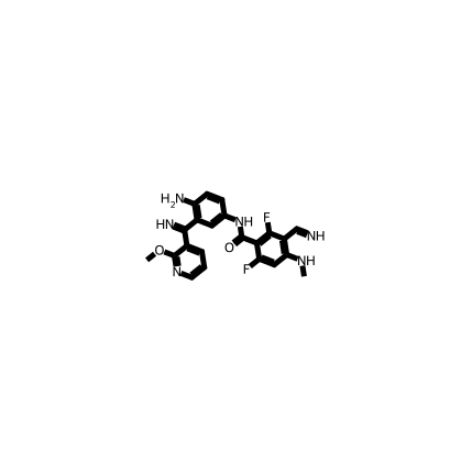 CNc1cc(F)c(C(=O)Nc2ccc(N)c(C(=N)c3cccnc3OC)c2)c(F)c1C=N